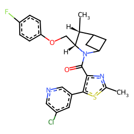 Cc1nc(C(=O)N2C3CC(C3)[C@@H](C)[C@H]2COc2ccc(F)cc2)c(-c2cncc(Cl)c2)s1